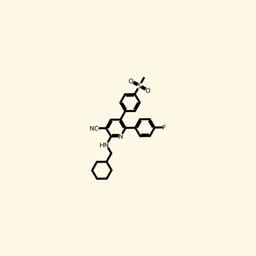 CS(=O)(=O)c1ccc(-c2cc(C#N)c(NCC3CCCCC3)nc2-c2ccc(F)cc2)cc1